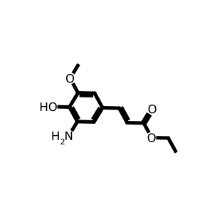 CCOC(=O)C=Cc1cc(N)c(O)c(OC)c1